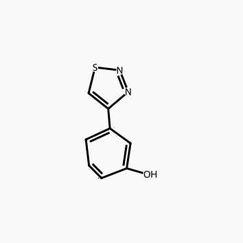 Oc1[c]ccc(-c2csnn2)c1